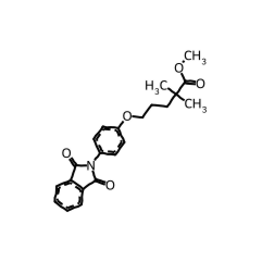 COC(=O)C(C)(C)CCCOc1ccc(N2C(=O)c3ccccc3C2=O)cc1